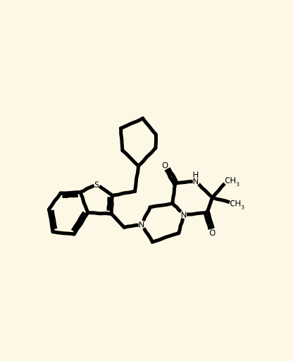 CC1(C)NC(=O)C2CN(Cc3c(CC4CCCCC4)sc4ccccc34)CCN2C1=O